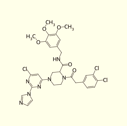 COc1cc(CNC(=O)C2CN(c3cc(Cl)nc(-n4ccnc4)n3)CCN2C(=O)Cc2ccc(Cl)c(Cl)c2)cc(OC)c1OC